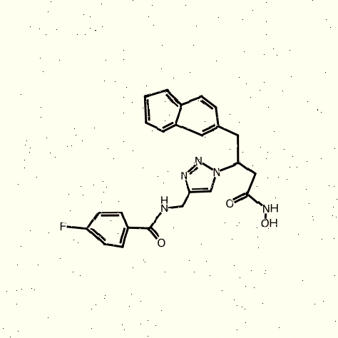 O=C(CC(Cc1ccc2ccccc2c1)n1cc(CNC(=O)c2ccc(F)cc2)nn1)NO